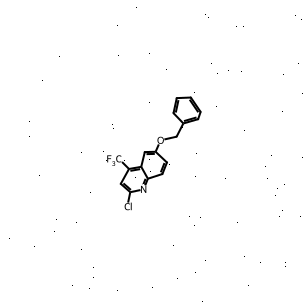 FC(F)(F)c1cc(Cl)nc2ccc(OCc3ccccc3)cc12